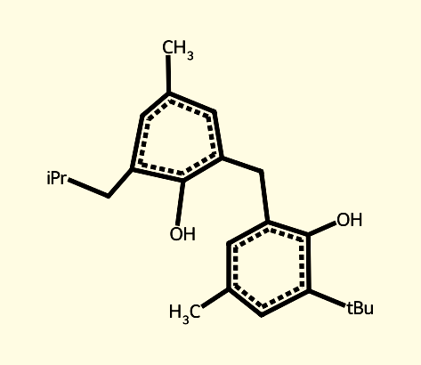 Cc1cc(Cc2cc(C)cc(C(C)(C)C)c2O)c(O)c(CC(C)C)c1